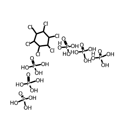 ClC1C(Cl)C(Cl)C(Cl)C(Cl)C1Cl.O=P(O)(O)O.O=P(O)(O)O.O=P(O)(O)O.O=P(O)(O)O.O=P(O)(O)O.O=P(O)(O)O